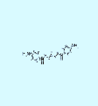 Nc1ccc(NCCNCCNc2ccc(N)cc2)cc1